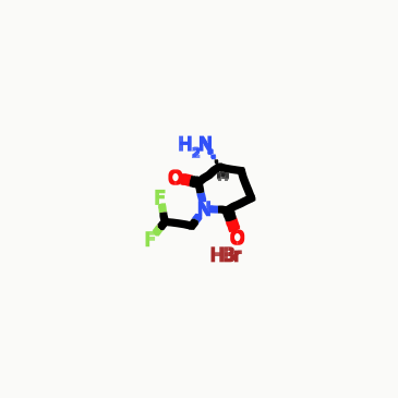 Br.N[C@@H]1CCC(=O)N(CC(F)F)C1=O